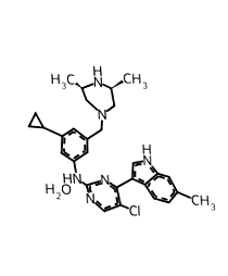 Cc1ccc2c(-c3nc(Nc4cc(CN5C[C@@H](C)N[C@@H](C)C5)cc(C5CC5)c4)ncc3Cl)c[nH]c2c1.O